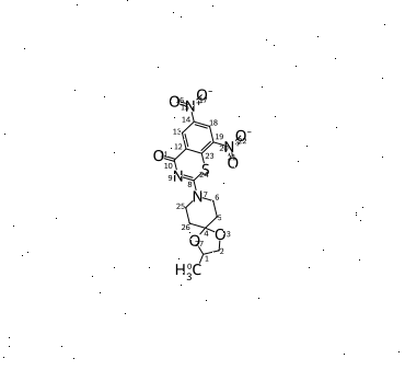 CC1COC2(CCN(c3nc(=O)c4cc([N+](=O)[O-])cc([N+](=O)[O-])c4s3)CC2)O1